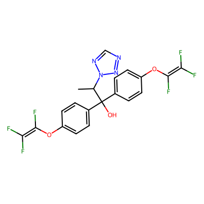 CC(n1ncnn1)C(O)(c1ccc(OC(F)=C(F)F)cc1)c1ccc(OC(F)=C(F)F)cc1